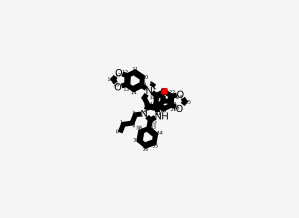 CCCCN1C(C[N+](C)(c2ccc3c(c2)OCO3)c2ccc3c(c2)OCO3)=C(C(F)F)NC1c1ccccc1